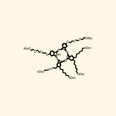 CCCCCCCCCCCCCCCCc1cc2c(cc1CCCCCCCCCCCCCCCC)-c1nc-2nc2[nH]c(nc3nc(nc4[nH]c(n1)c1cc(CCCCCCCCCCCCCCCC)c(CCCCCCCCCCCCCCCC)cc41)-c1cc(OCCOCCOCCOC)ccc1-3)c1ccc(OCCOCCOCCOC)cc21